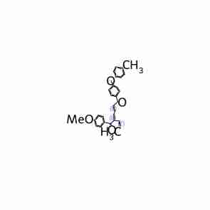 C\C=C/C(=C\C=C\C(=O)c1ccc(Oc2ccc(C)cc2)cc1)C(=O)c1ccc(OC)cc1